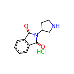 Cl.O=C1c2ccccc2C(=O)N1C1CCNC1